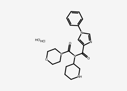 Cl.Cl.O=C(c1cn(-c2ccccc2)cn1)N(C(=O)N1CCOCC1)C1CCCNC1